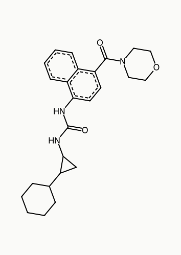 O=C(Nc1ccc(C(=O)N2CCOCC2)c2ccccc12)NC1CC1C1CCCCC1